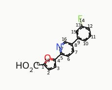 O=C(O)c1ccc(-c2ccc(-c3cccc(F)c3)cn2)o1